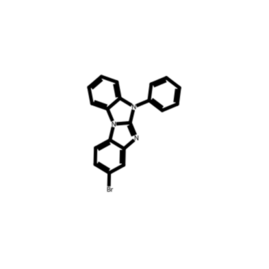 Brc1ccc2c(c1)nc1n(-c3ccccc3)c3ccccc3n21